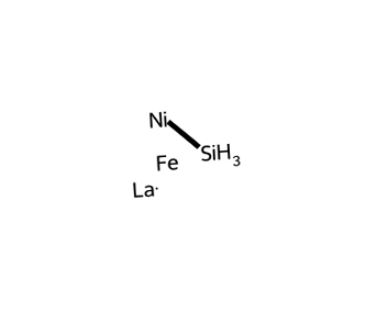 [Fe].[La].[SiH3][Ni]